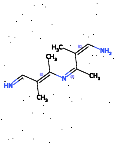 CC(=C/N)/C(C)=N\C(C)=C(/C)C=N